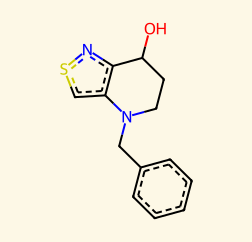 OC1CCN(Cc2ccccc2)c2csnc21